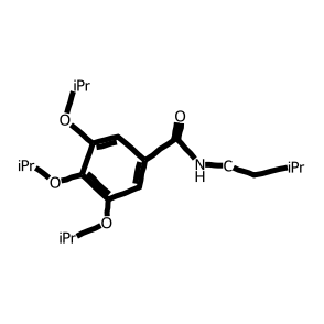 CC(C)CCNC(=O)c1cc(OC(C)C)c(OC(C)C)c(OC(C)C)c1